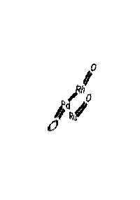 [O]=[Rh][Pd]=[O].[O]=[Ru]